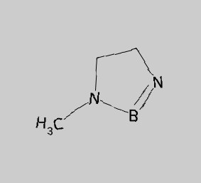 CN1B=NCC1